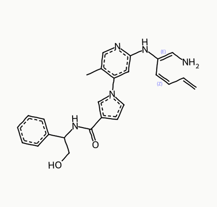 C=C/C=C\C(=C/N)Nc1cc(-n2ccc(C(=O)NC(CO)c3ccccc3)c2)c(C)cn1